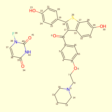 O=C(c1ccc(OCCN2CCCCC2)cc1)c1c(-c2ccc(O)cc2)sc2cc(O)ccc12.O=c1ccn(F)c(=O)[nH]1